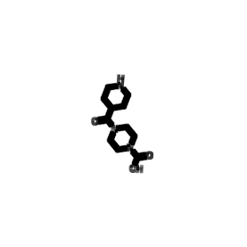 O=C(O)N1CCN(C(=O)C2CCNCC2)CC1